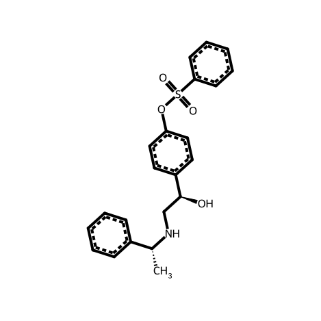 C[C@@H](NC[C@H](O)c1ccc(OS(=O)(=O)c2ccccc2)cc1)c1ccccc1